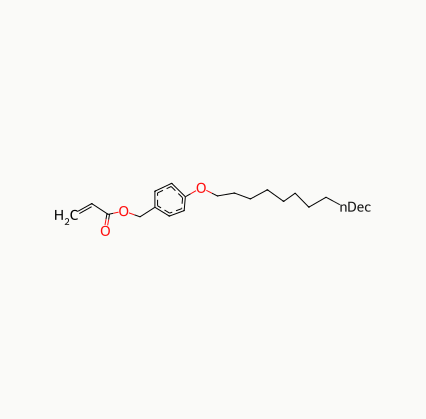 C=CC(=O)OCc1ccc(OCCCCCCCCCCCCCCCCCC)cc1